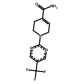 NC(=O)C1=CCN(c2ncc(C(F)(F)F)cn2)CC1